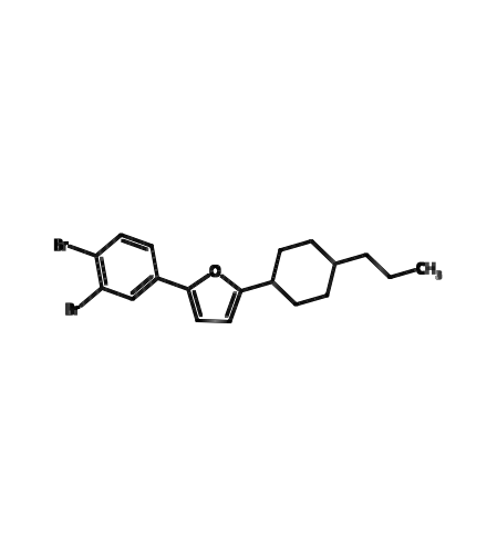 CCCC1CCC(c2ccc(-c3ccc(Br)c(Br)c3)o2)CC1